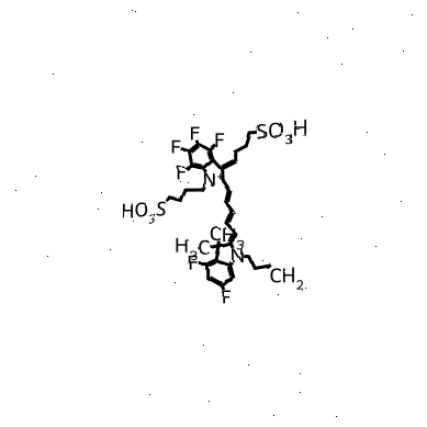 C=CCCN1/C(=C/C=C/C=C/C2=[N+](CCCCS(=O)(=O)O)c3c(F)c(F)c(F)c(F)c3/C2=C\CCCS(=O)(=O)O)C(C)(C)c2c(F)cc(F)cc21